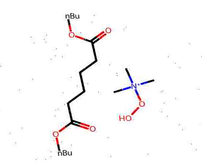 CCCCOC(=O)CCCCC(=O)OCCCC.C[N+](C)(C)OO